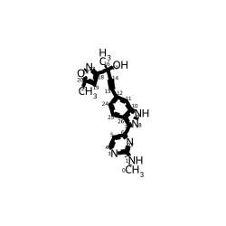 CNc1nccc(-c2n[nH]c3cc(C#C[C@@](C)(O)c4cc(C)on4)ccc23)n1